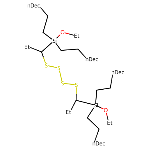 CCCCCCCCCCCC[Si](CCCCCCCCCCCC)(OCC)C(CC)SSSSC(CC)[Si](CCCCCCCCCCCC)(CCCCCCCCCCCC)OCC